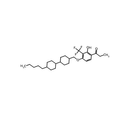 CCCCCC1CCC(C2CCC(COc3ccc(C(=O)CC)c(O)c3C(F)(F)F)CC2)CC1